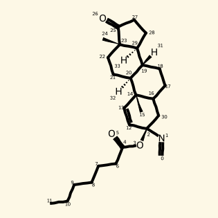 C=N[C@]1(OC(=O)CCCCCC)C=C[C@@]2(C)C(CC[C@@H]3[C@@H]2CC[C@]2(C)C(=O)CC[C@@H]32)C1